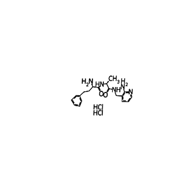 C[C@H](NC(=O)[C@H](N)CCc1ccccc1)C(=O)NCc1cccnc1N.Cl.Cl